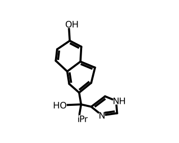 CC(C)C(O)(c1ccc2cc(O)ccc2c1)c1c[nH]cn1